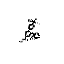 CC(C)(C)OC(=O)N1CCN(c2ccc(C(O)(C(F)(F)F)C(F)(F)F)cc2)[C@@H](CC2(CO)CCOCC2)C1